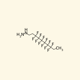 CCC(F)(F)C(F)(F)C(F)(F)C(F)(F)C(F)(F)C(F)(F)CCNN